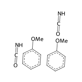 COc1ccccc1.COc1ccccc1.N=C=O.N=C=O